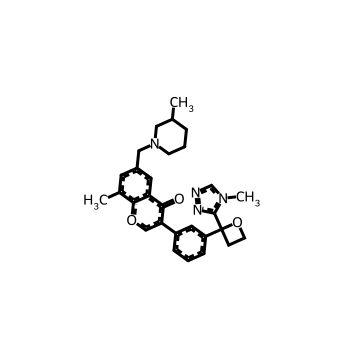 Cc1cc(CN2CCCC(C)C2)cc2c(=O)c(-c3cccc(C4(c5nncn5C)CCO4)c3)coc12